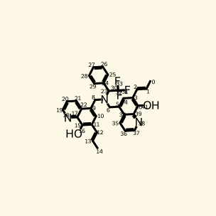 CC=Cc1cc(CN(Cc2cc(C=CC)c(O)c3ncccc23)C(c2ccccc2)C(F)(F)F)c2cccnc2c1O